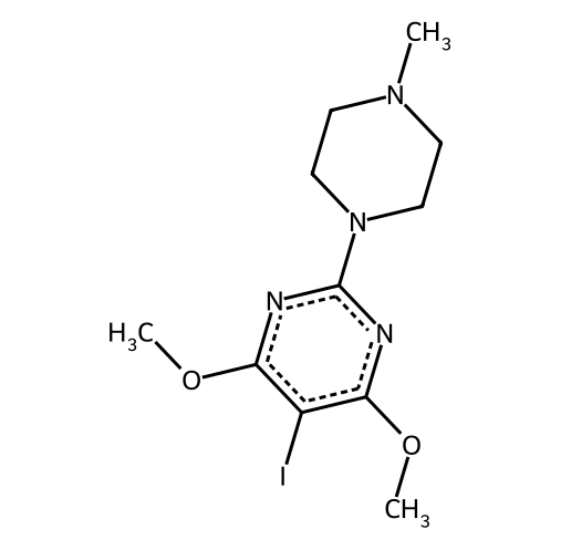 COc1nc(N2CCN(C)CC2)nc(OC)c1I